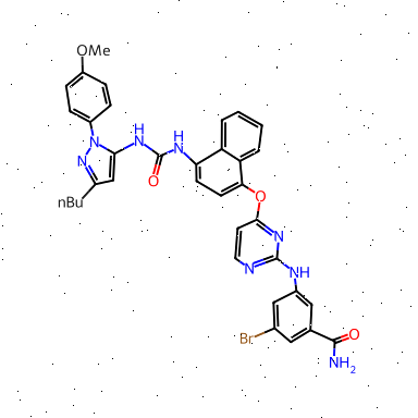 CCCCc1cc(NC(=O)Nc2ccc(Oc3ccnc(Nc4cc(Br)cc(C(N)=O)c4)n3)c3ccccc23)n(-c2ccc(OC)cc2)n1